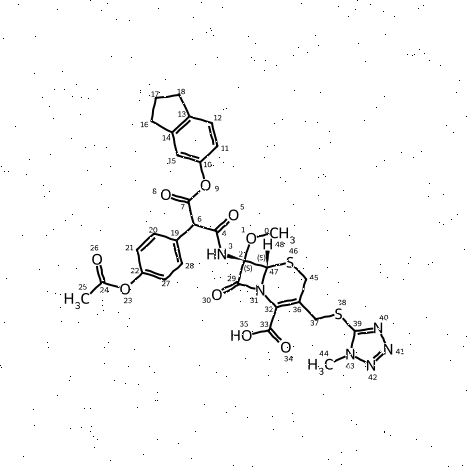 CO[C@@]1(NC(=O)C(C(=O)Oc2ccc3c(c2)CCC3)c2ccc(OC(C)=O)cc2)C(=O)N2C(C(=O)O)=C(CSc3nnnn3C)CS[C@H]21